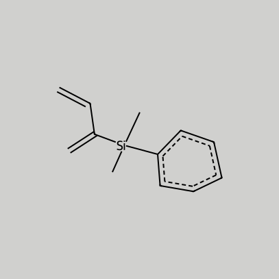 C=CC(=C)[Si](C)(C)c1ccccc1